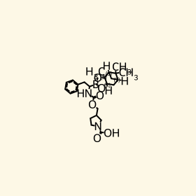 CC1(C)[C@@H]2C[C@H]3OB(C(Cc4ccccc4)NC(=O)OCC4CCN(C(=O)O)C4)O[C@@]3(C)[C@H]1C2